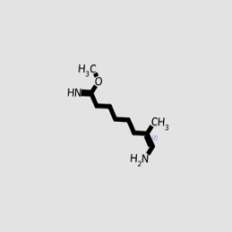 COC(=N)CCCCC/C(C)=C\N